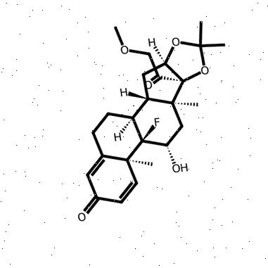 COCC(=O)[C@@]12OC(C)(C)O[C@@H]1C[C@H]1[C@@H]3CCC4=CC(=O)C=C[C@]4(C)[C@@]3(F)[C@@H](O)C[C@@]12C